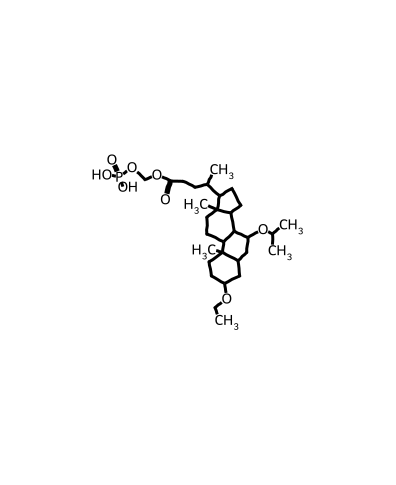 CCOC1CCC2(C)C(C1)CC(OC(C)C)C1C2CCC2(C)C(C(C)CCC(=O)OCOP(=O)(O)O)CCC12